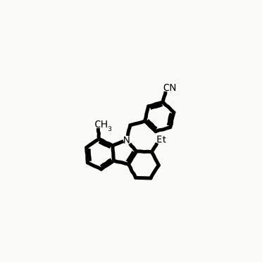 CCC1CCCc2c1n(Cc1cccc(C#N)c1)c1c(C)cccc21